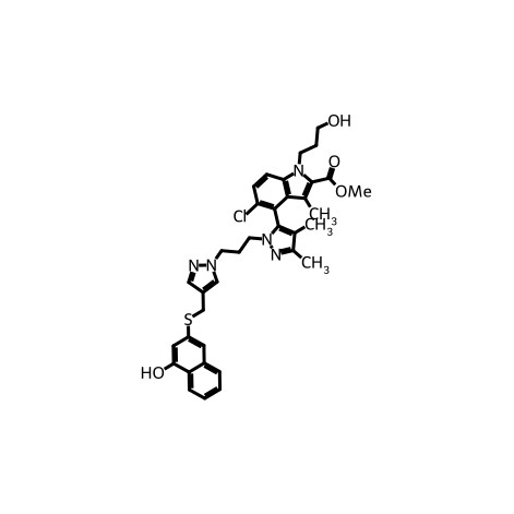 COC(=O)c1c(C)c2c(-c3c(C)c(C)nn3CCCn3cc(CSc4cc(O)c5ccccc5c4)cn3)c(Cl)ccc2n1CCCO